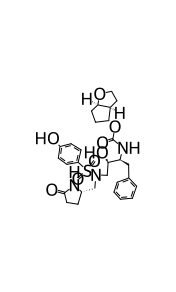 O=C1CC[C@@H](CN(C[C@@H](O)[C@H](Cc2ccccc2)NC(=O)OC2CC[C@H]3OCC[C@@H]23)S(=O)(=O)c2ccc(O)cc2)N1